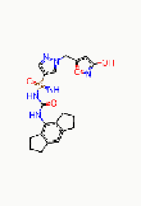 N=S(=O)(NC(=O)Nc1c2c(cc3c1CCC3)CCC2)c1cnn(Cc2cc(O)no2)c1